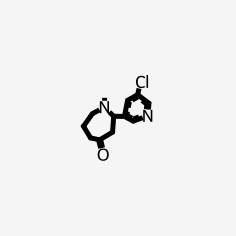 CN1CCCC(=O)CC1c1cncc(Cl)c1